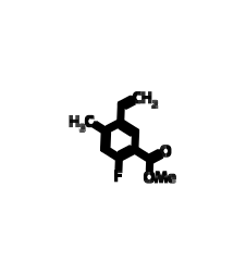 C=Cc1cc(C(=O)OC)c(F)cc1C